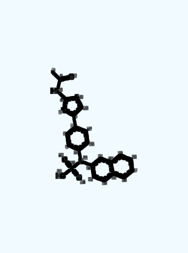 CC(=O)Nc1nc(-c2ccc(N(c3ccc4ccccc4c3)S(=O)(=O)O)cc2)cs1